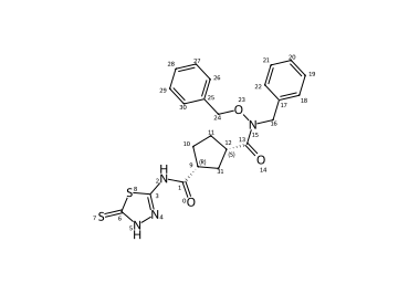 O=C(Nc1n[nH]c(=S)s1)[C@@H]1CC[C@H](C(=O)N(Cc2ccccc2)OCc2ccccc2)C1